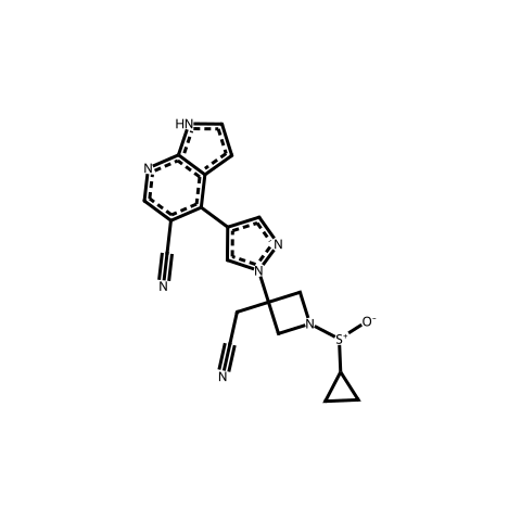 N#CCC1(n2cc(-c3c(C#N)cnc4[nH]ccc34)cn2)CN([S+]([O-])C2CC2)C1